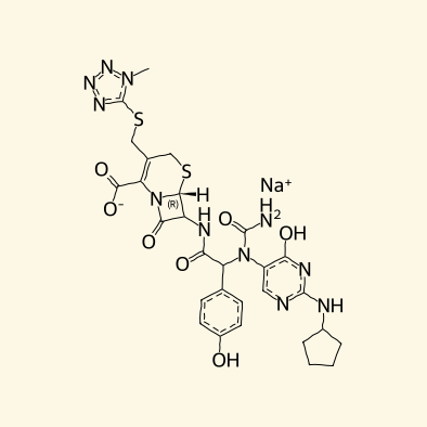 Cn1nnnc1SCC1=C(C(=O)[O-])N2C(=O)C(NC(=O)C(c3ccc(O)cc3)N(C(N)=O)c3cnc(NC4CCCC4)nc3O)[C@H]2SC1.[Na+]